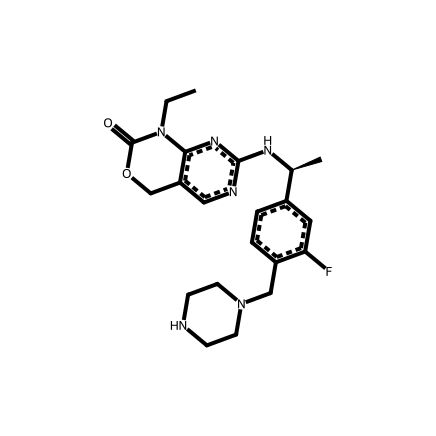 CCN1C(=O)OCc2cnc(N[C@@H](C)c3ccc(CN4CCNCC4)c(F)c3)nc21